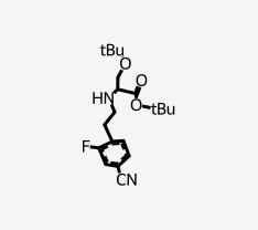 CC(C)(C)OCC(NCCc1ccc(C#N)cc1F)C(=O)OC(C)(C)C